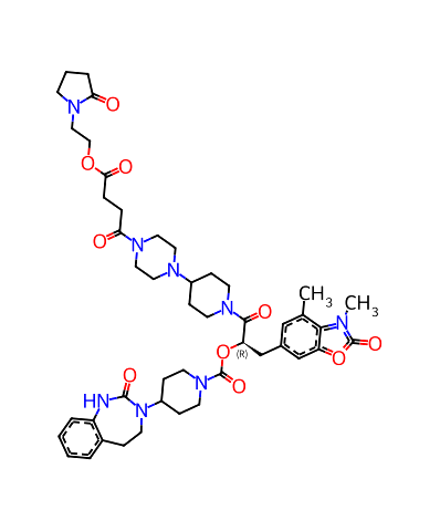 Cc1cc(C[C@@H](OC(=O)N2CCC(N3CCc4ccccc4NC3=O)CC2)C(=O)N2CCC(N3CCN(C(=O)CCC(=O)OCCN4CCCC4=O)CC3)CC2)cc2oc(=O)n(C)c12